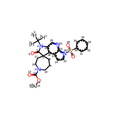 [2H]C([2H])([2H])N1C(=O)C2(CCCN(C(=O)OC(C)(C)C)CC2)c2c1cnc1c2ccn1S(=O)(=O)c1ccccc1